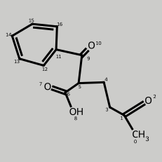 CC(=O)CCC(C(=O)O)C(=O)c1ccccc1